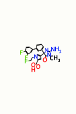 CN1C(=O)C(c2cccc(-c3ccc(F)c(F)c3)c2)(c2cc(C(=O)O)n(CCF)c2)N=C1N